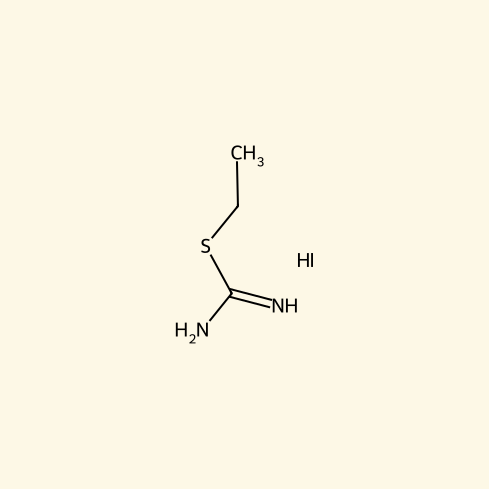 CCSC(=N)N.I